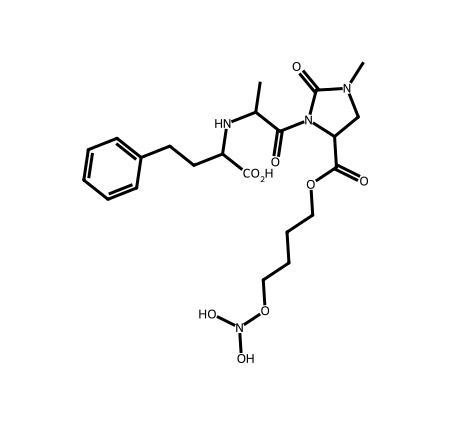 CC(NC(CCc1ccccc1)C(=O)O)C(=O)N1C(=O)N(C)CC1C(=O)OCCCCON(O)O